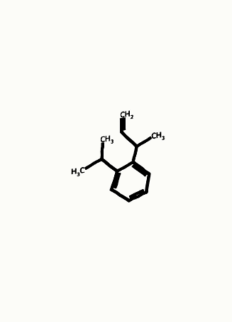 C=CC(C)c1ccccc1C(C)C